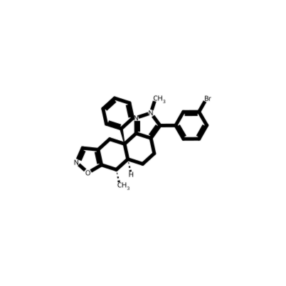 C[C@@H]1c2oncc2C[C@]2(c3ccccc3)c3nn(C)c(-c4cccc(Br)c4)c3CC[C@@H]12